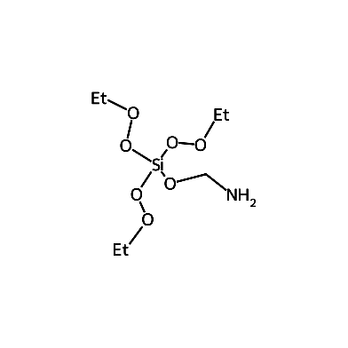 CCOO[Si](OCN)(OOCC)OOCC